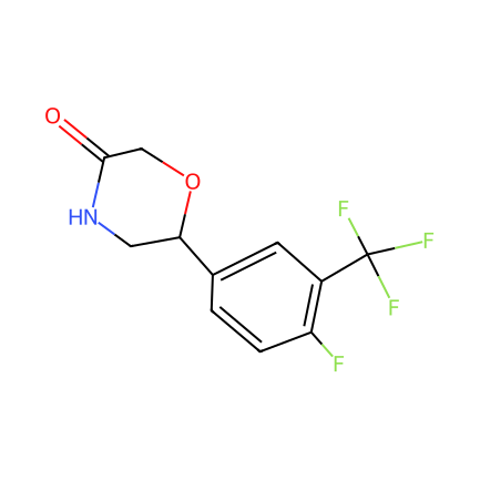 O=C1COC(c2ccc(F)c(C(F)(F)F)c2)CN1